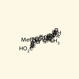 COc1nc(O[C@H]2CCc3c(-c4cccc(-c5cc(C)c(CNC[C@@H]6CCC(=O)N6)c(OC)n5)c4Cl)cccc32)c(Cl)cc1CN1CC[C@H](C(=O)O)C1